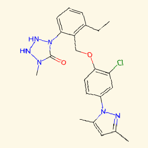 CCc1cccc(N2NNN(C)C2=O)c1COc1ccc(-n2nc(C)cc2C)cc1Cl